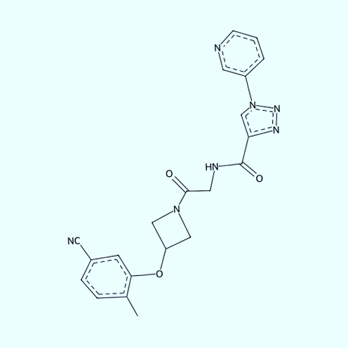 Cc1ccc(C#N)cc1OC1CN(C(=O)CNC(=O)c2cn(-c3cccnc3)nn2)C1